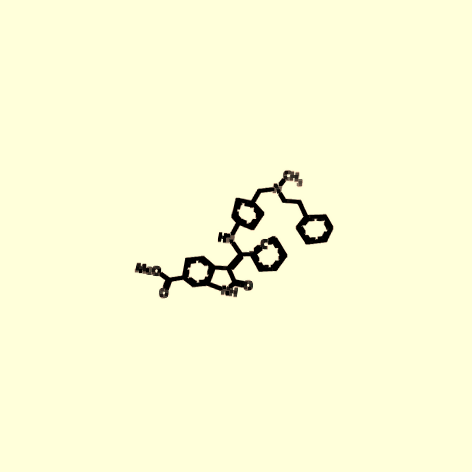 COC(=O)c1ccc2c(c1)NC(=O)C2=C(Nc1ccc(CN(C)CCc2ccccc2)cc1)c1ccccc1